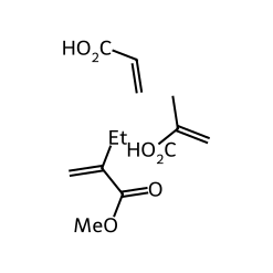 C=C(C)C(=O)O.C=C(CC)C(=O)OC.C=CC(=O)O